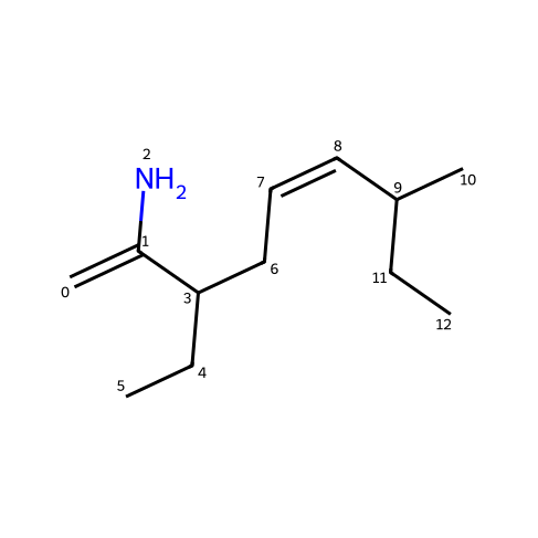 C=C(N)C(CC)C/C=C\C(C)CC